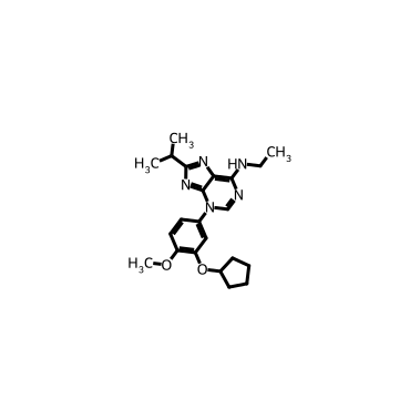 CCNc1ncn(-c2ccc(OC)c(OC3CCCC3)c2)c2nc(C(C)C)nc1-2